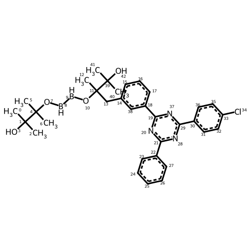 CC(C)(O)C(C)(C)OBBOC(C)(Cc1cccc(-c2nc(-c3ccccc3)nc(-c3ccc(Cl)cc3)n2)c1)C(C)(C)O